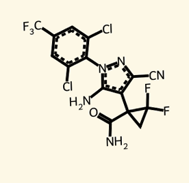 N#Cc1nn(-c2c(Cl)cc(C(F)(F)F)cc2Cl)c(N)c1C1(C(N)=O)CC1(F)F